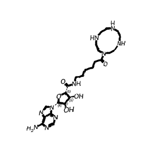 Nc1ncnc2c1ncn2[C@@H]1O[C@H](C(=O)NCCCCCC(=O)N2CCNCCNCCNCC2)[C@@H](O)[C@H]1O